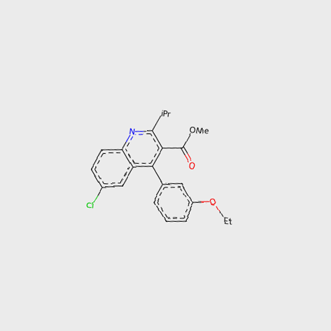 CCOc1cccc(-c2c(C(=O)OC)c(C(C)C)nc3ccc(Cl)cc23)c1